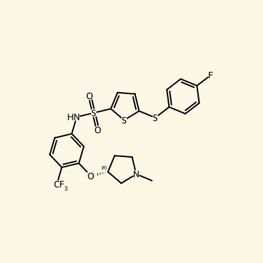 CN1CC[C@@H](Oc2cc(NS(=O)(=O)c3ccc(Sc4ccc(F)cc4)s3)ccc2C(F)(F)F)C1